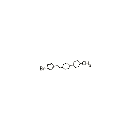 CC1CCC(C2CCC(CCc3ccc(Br)cc3)CC2)CC1